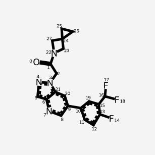 O=C(Cn1ncc2ncc(-c3ccc(F)c(C(F)F)c3)cc21)N1CC2(CC2)C1